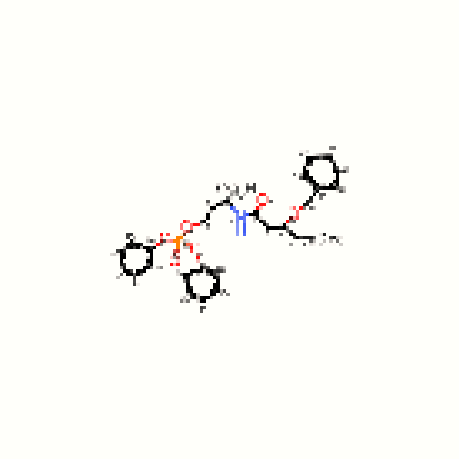 CCCCCCCCCCCC(CC(=O)NC(CCOP(=O)(Oc1ccccc1)Oc1ccccc1)C(=O)O)OCc1ccccc1